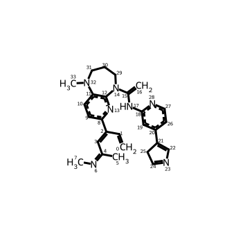 C=C/C(=C\C(C)=N/C)c1ccc2c(n1)N(C(=C)Nc1cc(C3=CN=CC3)ccn1)CCCN2C